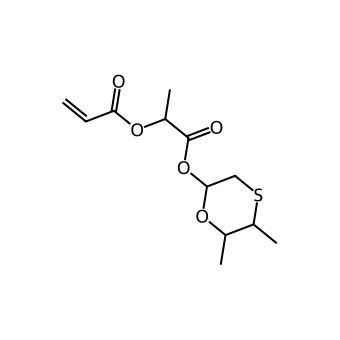 C=CC(=O)OC(C)C(=O)OC1CSC(C)C(C)O1